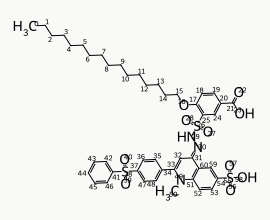 CCCCCCCCCCCCCCCCOc1ccc(C(=O)O)cc1S(=O)(=O)NN=c1cc(-c2ccc(S(=O)(=O)c3ccccc3)cc2)n(C)c2ccc(S(=O)(=O)O)cc12